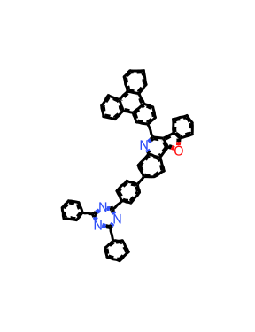 c1ccc(-c2nc(-c3ccccc3)nc(-c3ccc(-c4ccc5c(c4)nc(-c4ccc6c7ccccc7c7ccccc7c6c4)c4c6ccccc6oc54)cc3)n2)cc1